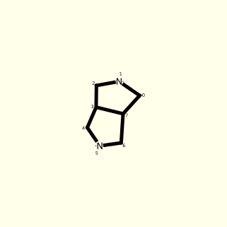 C1[N]CC2C[N]CC12